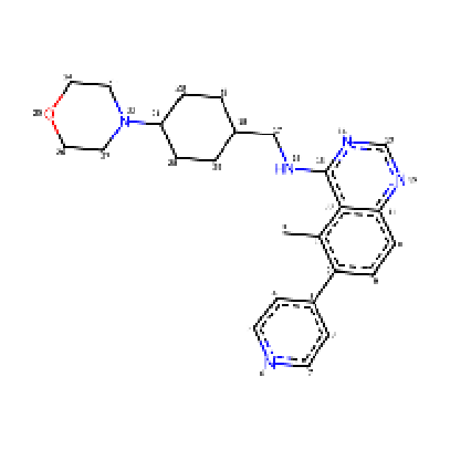 Cc1c(-c2ccncc2)ccc2ncnc(NCC3CCC(N4CCOCC4)CC3)c12